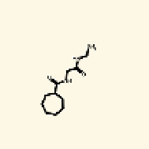 BCNC(=O)CNC(=O)C1CCCCCC1